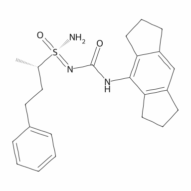 C[C@@H](CCc1ccccc1)[S@@](N)(=O)=NC(=O)Nc1c2c(cc3c1CCC3)CCC2